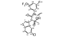 C=CN(C(=O)C(c1csc2ccc(Cl)cc12)P(C)(=O)O)c1cc(F)cc(C(F)(F)F)c1